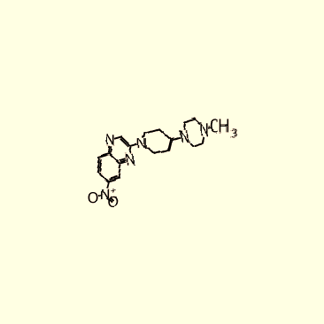 CN1CCN(C2CCN(c3cnc4ccc([N+](=O)[O-])cc4n3)CC2)CC1